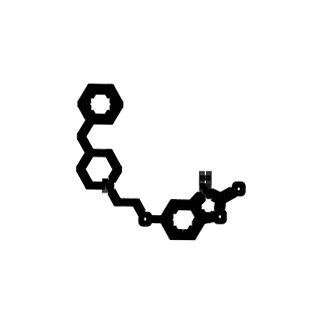 O=c1[nH]c2cc(OCCN3CCC(Cc4ccccc4)CC3)ccc2o1